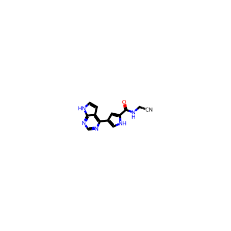 N#CCNC(=O)c1cc(-c2ncnc3[nH]ccc23)c[nH]1